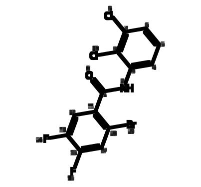 O=C(Nc1cccc(Cl)c1Cl)c1cc(F)c(F)cc1Br